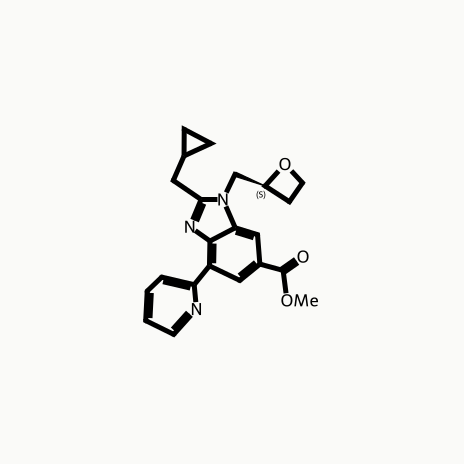 COC(=O)c1cc(-c2ccccn2)c2nc(CC3CC3)n(C[C@@H]3CCO3)c2c1